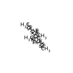 Cc1ccc(-c2cc3c(s2)-c2c(C)c4c(c(C)c2C3(F)F)-c2sc(-c3ccc(C)s3)cc2C4(F)F)s1